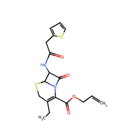 C=CCOC(=O)C1=C(CC)CSC2C(NC(=O)Cc3cccs3)C(=O)N12